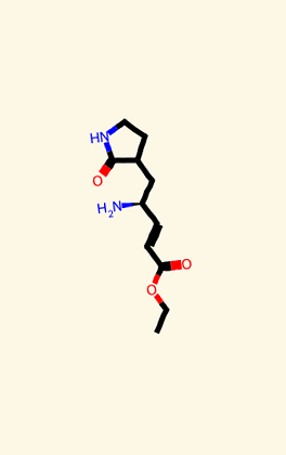 CCOC(=O)/C=C/[C@@H](N)CC1CCNC1=O